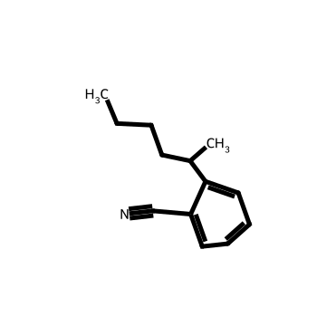 CCCCC(C)c1ccccc1C#N